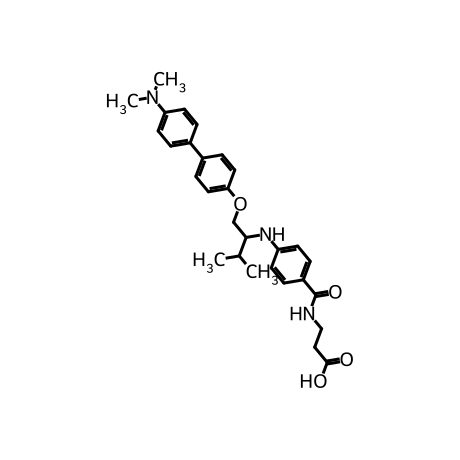 CC(C)C(COc1ccc(-c2ccc(N(C)C)cc2)cc1)Nc1ccc(C(=O)NCCC(=O)O)cc1